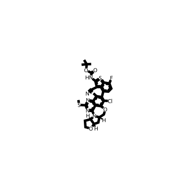 CSc1nc2c3c(c(Cl)c(-c4ccc(F)c5sc(NC(=O)OC(C)(C)C)c(C#N)c45)c(F)c3n1)OC[C@@H]1C[C@@H]3OCC[C@@H]3N21